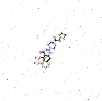 COc1cc2[nH]c(N3CCN(C(=O)CC4CCCC4)CC3)nc(=O)c2c(C)c1OC